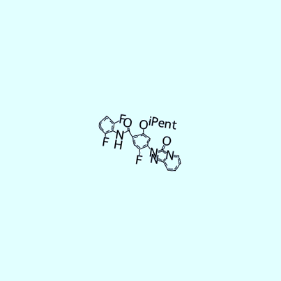 CCCC(C)Oc1cc(-n2nc3ccccn3c2=O)c(F)cc1C(=O)Nc1c(F)cccc1F